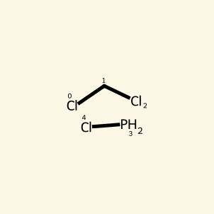 ClCCl.PCl